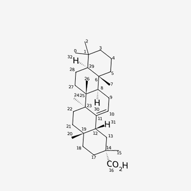 CC1(C)CCC[C@]2(C)[C@H]3CC=C4[C@@H]5C[C@](C)(C(=O)O)CC[C@]5(C)CC[C@@]4(C)[C@]3(C)CC[C@@H]12